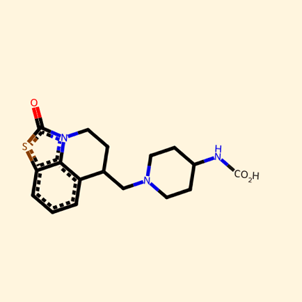 O=C(O)NC1CCN(CC2CCn3c(=O)sc4cccc2c43)CC1